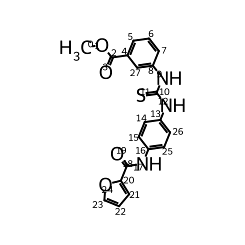 COC(=O)c1cccc(NC(=S)Nc2ccc(NC(=O)c3ccco3)cc2)c1